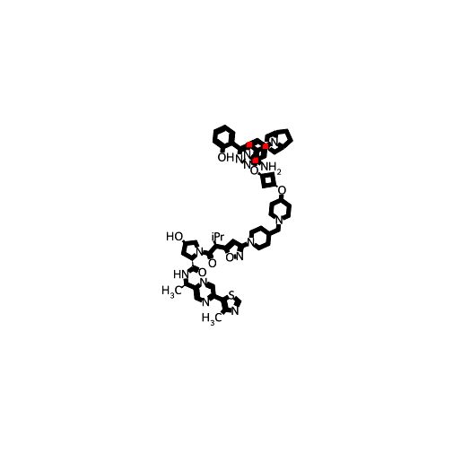 Cc1ncsc1-c1cnc([C@H](C)NC(=O)[C@@H]2C[C@@H](O)CN2C(=O)[C@H](c2cc(N3CCC(CN4CCC(O[C@H]5C[C@H](Oc6cc(N7C8CCC7CN(c7cc(-c9ccccc9O)nnc7N)C8)ccn6)C5)CC4)CC3)no2)C(C)C)cn1